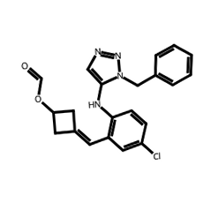 O=COC1CC(=Cc2cc(Cl)ccc2Nc2cnnn2Cc2ccccc2)C1